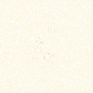 CCCc1nc(C)n2c(=O)[nH]c(-c3cc(S(=O)(=O)N(C)CCc4ccc(OC)c(OC)c4)ccc3OCC)nc12